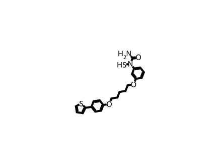 NC(=O)N(S)c1cccc(OCCCCCOc2ccc(-c3cccs3)cc2)c1